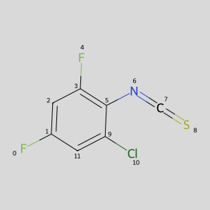 Fc1cc(F)c(N=C=S)c(Cl)c1